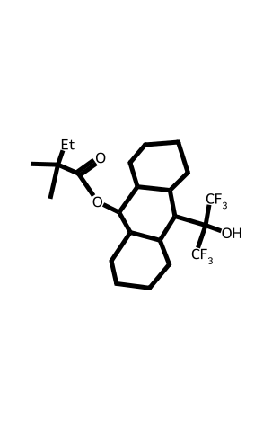 CCC(C)(C)C(=O)OC1C2CCCCC2C(C(O)(C(F)(F)F)C(F)(F)F)C2CCCCC21